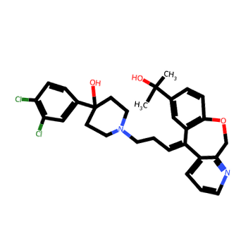 CC(C)(O)c1ccc2c(c1)/C(=C\CCN1CCC(O)(c3ccc(Cl)c(Cl)c3)CC1)c1cccnc1CO2